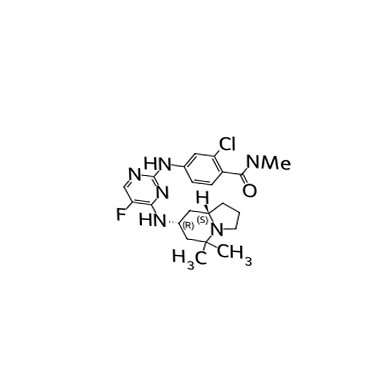 CNC(=O)c1ccc(Nc2ncc(F)c(N[C@@H]3C[C@@H]4CCCN4C(C)(C)C3)n2)cc1Cl